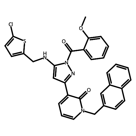 COc1ccccc1C(=O)n1nc(-c2cccn(Cc3ccc4ccccc4c3)c2=O)cc1NCc1ccc(Cl)s1